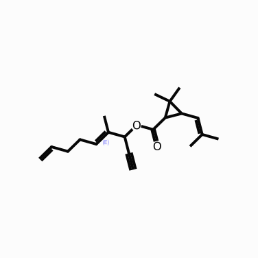 C#CC(OC(=O)C1C(C=C(C)C)C1(C)C)/C(C)=C/CCC=C